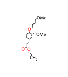 C=CCOC(=O)CCc1ccc(OCC=CCOC)c(COC)c1